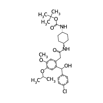 COc1cc(CC(=O)N[C@H]2CC[C@H](NC(=O)OC(C)(C)C)CC2)c(C(O)c2ccc(Cl)cc2)cc1OC(C)C